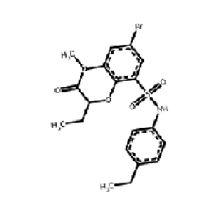 CCc1ccc(NS(=O)(=O)c2cc(Br)cc3c2OC(CC)C(=O)N3C)cc1